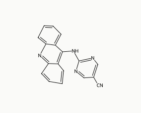 N#Cc1cnc(Nc2c3ccccc3nc3ccccc23)nc1